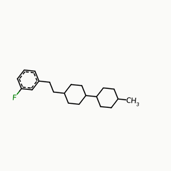 CC1CCC(C2CCC(CCc3cccc(F)c3)CC2)CC1